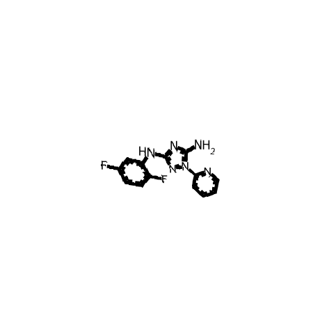 Nc1nc(Nc2cc(F)ccc2F)nn1-c1ccccn1